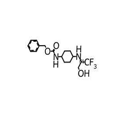 O=C(NC1CCC(N[C@H](CO)C(F)(F)F)CC1)OCc1ccccc1